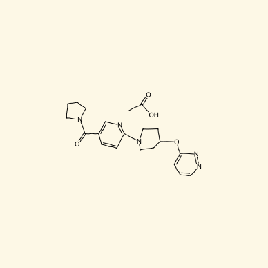 CC(=O)O.O=C(c1ccc(N2CCC(Oc3cccnn3)CC2)nc1)N1CCCC1